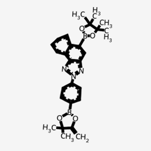 C=C1OB(c2ccc(-n3nc4cc(B5OC(C)(C)C(C)(C)O5)c5ccccc5c4n3)cc2)OC1(C)C